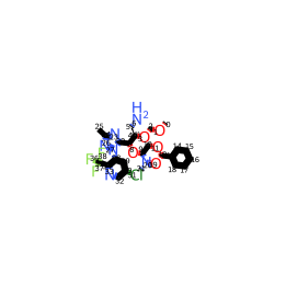 COCO[C@@H](CN)C(OC1COC(c2ccccc2)ON1C)c1nc(C)nn1-c1cc(Cl)cnc1C(F)(F)F